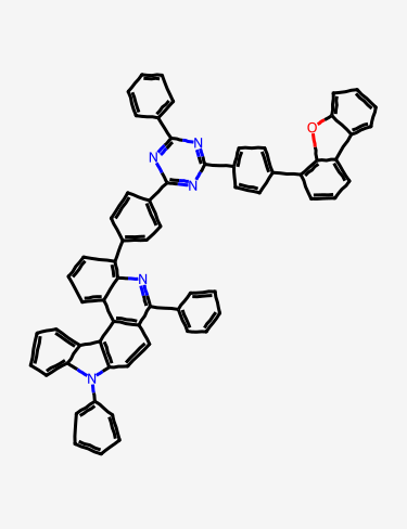 c1ccc(-c2nc(-c3ccc(-c4cccc5c4nc(-c4ccccc4)c4ccc6c(c7ccccc7n6-c6ccccc6)c45)cc3)nc(-c3ccc(-c4cccc5c4oc4ccccc45)cc3)n2)cc1